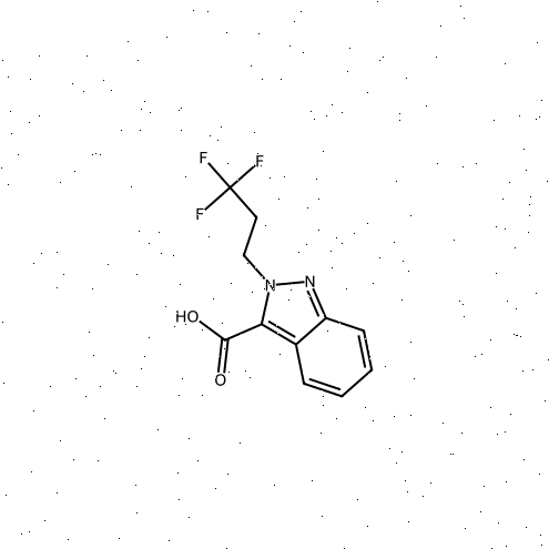 O=C(O)c1c2ccccc2nn1CCC(F)(F)F